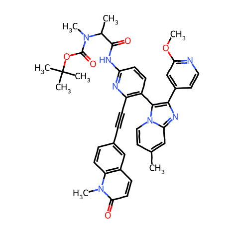 COc1cc(-c2nc3cc(C)ccn3c2-c2ccc(NC(=O)C(C)N(C)C(=O)OC(C)(C)C)nc2C#Cc2ccc3c(ccc(=O)n3C)c2)ccn1